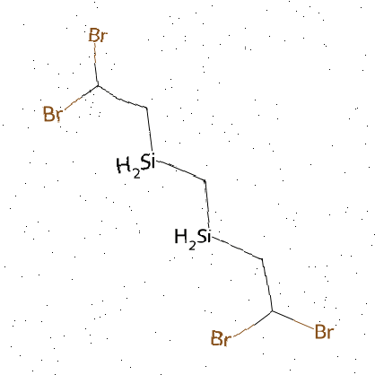 BrC(Br)C[SiH2]C[SiH2]CC(Br)Br